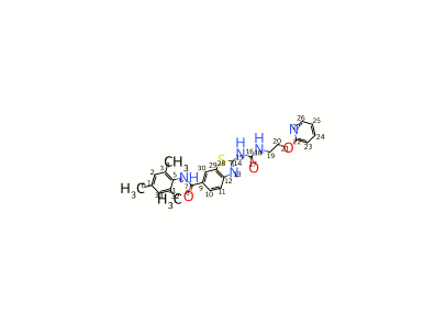 Cc1cc(C)c(NC(=O)c2ccc3nc(NC(=O)NCCOc4ccccn4)sc3c2)c(C)c1